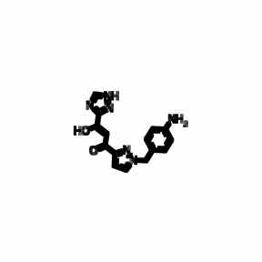 Nc1ccc(Cn2ccc(C(=O)C=C(O)c3nc[nH]n3)n2)cc1